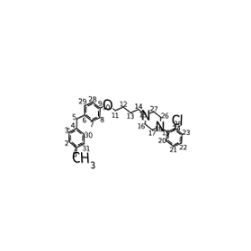 Cc1c[c]c(Cc2ccc(OCCCCN3CCN(c4ccccc4Cl)CC3)cc2)cc1